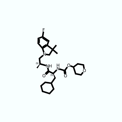 C[C@@H](CN1CC(C)(C)c2cc(F)ccc21)NC(=O)[C@H](CC1CCCCC1)NC(=O)OC1CCOCC1